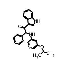 CC(C)Oc1cncc(NC(C(=O)c2c[nH]c3ccccc23)c2ccccc2)c1